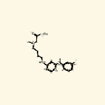 COC(=O)CN(C)CCCCNc1cc(Nc2cccc(Cl)c2)ncn1